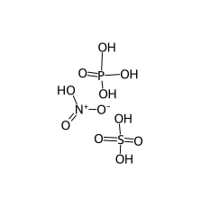 O=P(O)(O)O.O=S(=O)(O)O.O=[N+]([O-])O